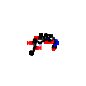 CC(C)(C)N(C[C@H](O)COC1=NCN=C1N1CCOCC1)C(=O)CCC/C=C\C[C@@H]1[C@@H](/C=C/[C@@H](O)CCc2ccccc2)[C@H](O)C[C@@H]1O